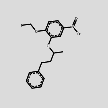 CC(CCc1ccccc1)Oc1cc([N+](=O)[O-])ccc1OCI